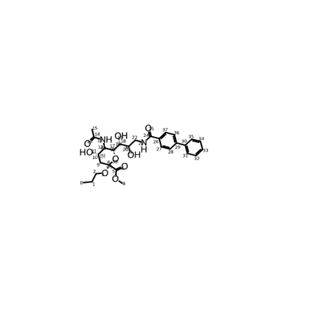 CCCO[C@]1(C(=O)OC)C[C@H](O)[C@@H](NC(C)=O)[C@H]([C@H](O)[C@H](O)CNC(=O)c2ccc(-c3ccccc3)cc2)O1